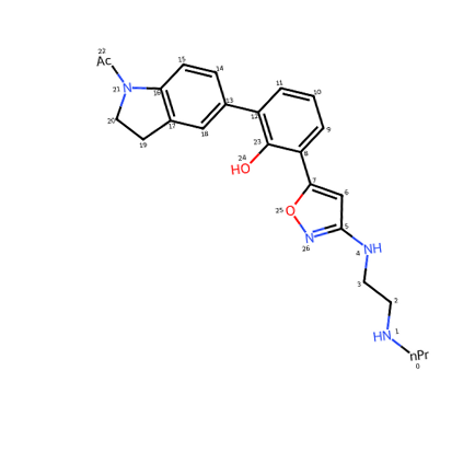 CCCNCCNc1cc(-c2cccc(-c3ccc4c(c3)CCN4C(C)=O)c2O)on1